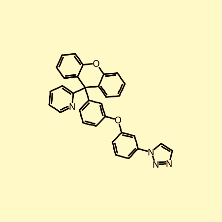 c1ccc(C2(c3cccc(Oc4cccc(-n5ccnn5)c4)c3)c3ccccc3Oc3ccccc32)nc1